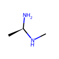 CN[C@@H](C)N